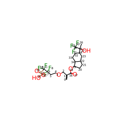 C=C(COCCC(F)(F)C(F)(F)S(=O)(=O)O)C(=O)OC1CCC2CC(C(C)(O)C(F)(F)F)CCC21